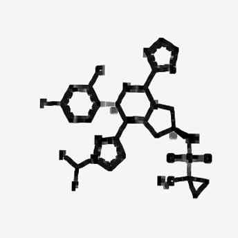 CC1(S(=O)(=O)N[C@H]2CC3=C(c4ccn(C(F)F)n4)[C@H](c4ccc(F)cc4Cl)N=C(c4nccs4)N3C2)CC1